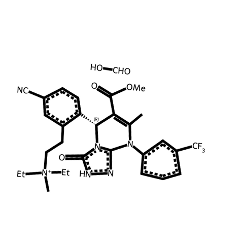 CC[N+](C)(CC)CCc1cc(C#N)ccc1[C@@H]1C(C(=O)OC)=C(C)N(c2cccc(C(F)(F)F)c2)c2n[nH]c(=O)n21.O=CO